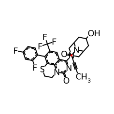 CC#CC(=O)N1C2CC(O)CC1CN(c1nc(=O)n3c4c(c(-c5ccc(F)cc5F)c(C(F)(F)F)cc14)SCC3)C2